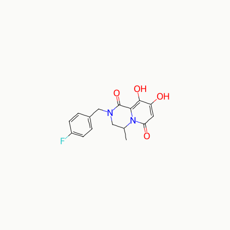 CC1CN(Cc2ccc(F)cc2)C(=O)c2c(O)c(O)cc(=O)n21